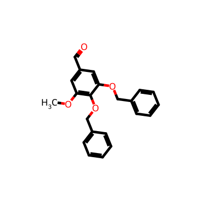 COc1cc(C=O)cc(OCc2ccccc2)c1OCc1ccccc1